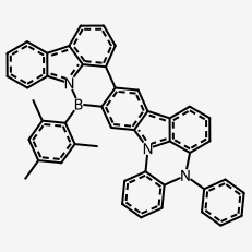 Cc1cc(C)c(B2c3cc4c(cc3-c3cccc5c6ccccc6n2c35)c2cccc3c2n4-c2ccccc2N3c2ccccc2)c(C)c1